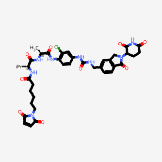 CC(C)[C@H](NC(=O)CCCCCN1C(=O)C=CC1=O)C(=O)N[C@@H](C)C(=O)Nc1ccc(NC(=O)NCc2ccc3c(c2)CN(C2CCC(=O)NC2=O)C3=O)cc1Cl